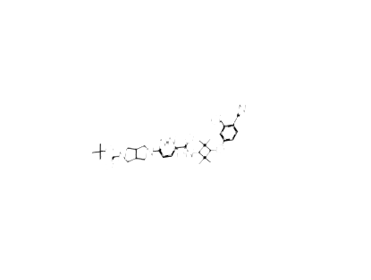 CC(C)(C)OC(=O)N1CC2CN(c3ccc(C(=O)N[C@H]4C(C)(C)[C@H](Oc5ccc(C#N)c(Cl)c5)C4(C)C)nn3)CC2C1